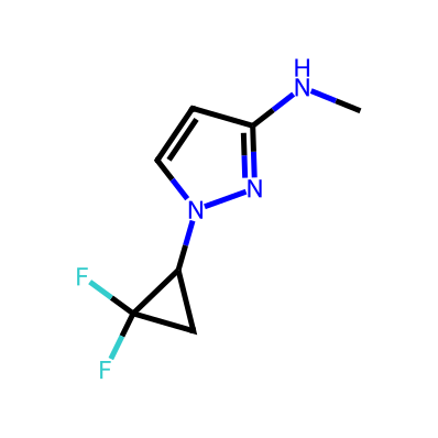 CNc1ccn(C2CC2(F)F)n1